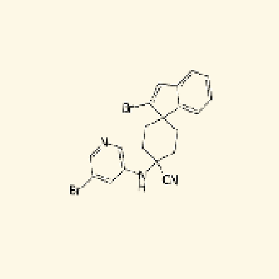 N#CC1(Nc2cncc(Br)c2)CCC2(CC1)C(Br)=Cc1ccccc12